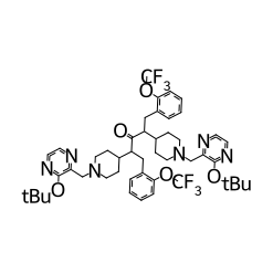 CC(C)(C)Oc1nccnc1CN1CCC(C(Cc2ccccc2OC(F)(F)F)C(=O)C(Cc2ccccc2OC(F)(F)F)C2CCN(Cc3nccnc3OC(C)(C)C)CC2)CC1